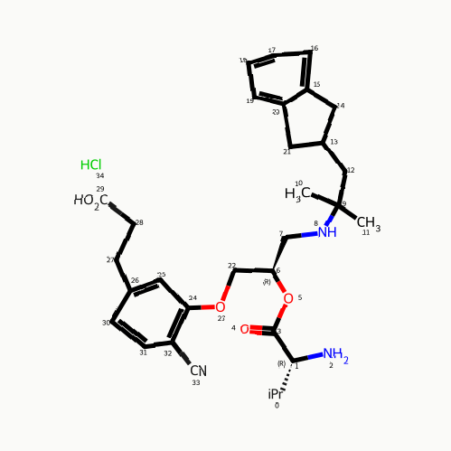 CC(C)[C@@H](N)C(=O)O[C@H](CNC(C)(C)CC1Cc2ccccc2C1)COc1cc(CCC(=O)O)ccc1C#N.Cl